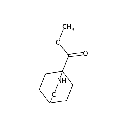 COC(=O)C12CCC(CC1)CN2